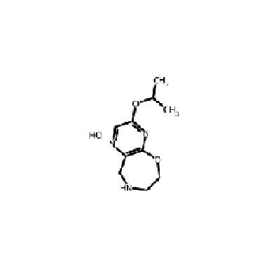 CC(C)Oc1cnc2c(n1)OCCNC2.Cl